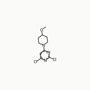 COC1CCN(c2cc(Cl)nc(Cl)n2)CC1